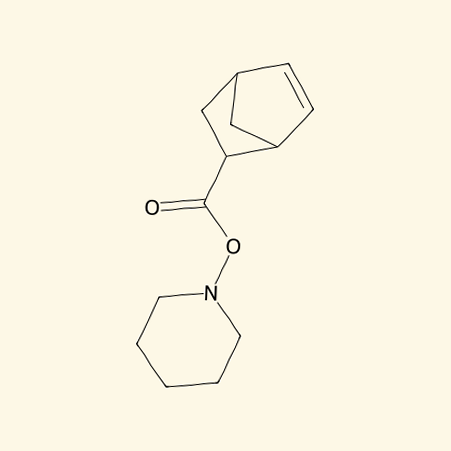 O=C(ON1CCCCC1)C1CC2C=CC1C2